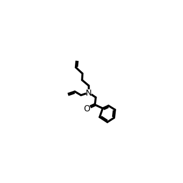 C=CCCCN(CC=C)CC(=O)c1ccccc1